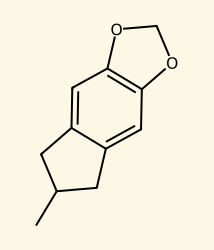 CC1Cc2cc3c(cc2C1)OCO3